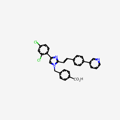 O=C(O)c1ccc(Cn2cc(-c3ccc(Cl)cc3Cl)nc2C=Cc2ccc(-c3cccnc3)cc2)cc1